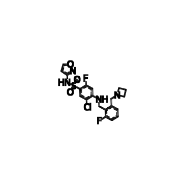 O=S(=O)(Nc1ccon1)c1cc(Cl)c(NCc2c(F)cccc2CN2CCC2)cc1F